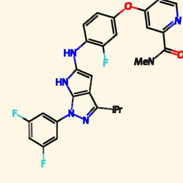 CNC(=O)c1cc(Oc2ccc(Nc3cc4c(C(C)C)nn(-c5cc(F)cc(F)c5)c4[nH]3)c(F)c2)ccn1